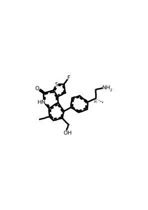 Cc1cc(CO)c(-c2ccc([C@@H](C)CN)cc2)c2c1[nH]c(=O)c1sc(F)cc12